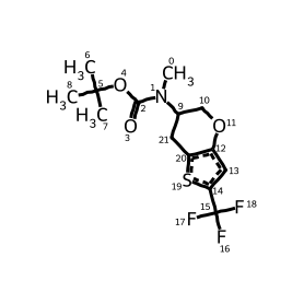 CN(C(=O)OC(C)(C)C)C1COc2cc(C(F)(F)F)sc2C1